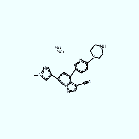 Cl.Cl.Cn1cc(-c2cc(-c3ccc(N4CCNCC4)nc3)c3c(C#N)cnn3c2)cn1